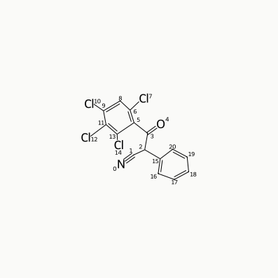 N#CC(C(=O)c1c(Cl)cc(Cl)c(Cl)c1Cl)c1ccccc1